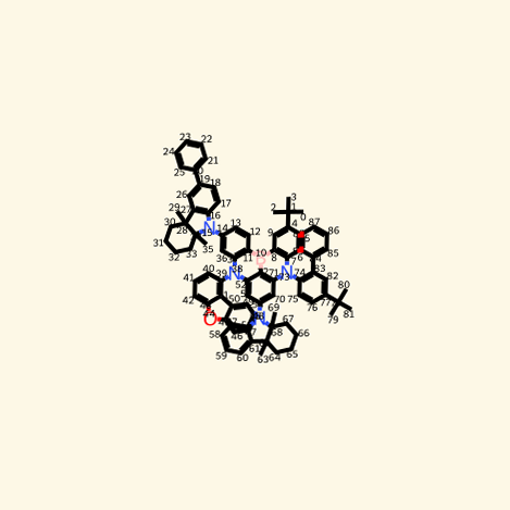 CC(C)(C)c1ccc2c(c1)B1c3ccc(N4c5ccc(-c6ccccc6)cc5C5(C)CCCCC45C)cc3N(c3cccc4oc5ccccc5c34)c3cc(N4c5ccccc5C5(C)CCCCC45C)cc(c31)N2c1ccc(C(C)(C)C)cc1-c1ccccc1